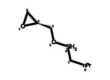 CCCC[SiH2]OC[C@H]1CO1